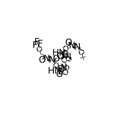 CC(C)(C)c1ccc(CN2CCN(C(=O)c3ccc(NS(=O)(=O)c4ccc(-c5ccc6cccc(S(=O)(=O)Nc7ccc(C(=O)N8CCN(C(=O)CCc9ccc(C(F)(F)F)cc9)CC8)cc7)c6n5)c5cccnc45)cc3)CC2)cc1